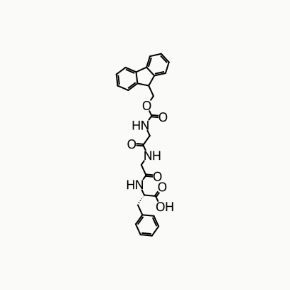 O=C(CNC(=O)OCC1c2ccccc2-c2ccccc21)NCC(=O)N[C@@H](Cc1ccccc1)C(=O)O